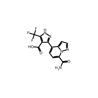 NC(=O)c1ccc(-c2n[nH]c(C(F)(F)F)c2C(=O)O)c2ccnn12